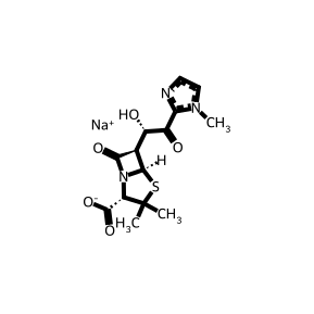 Cn1ccnc1C(=O)[C@@H](O)[C@@H]1C(=O)N2[C@@H]1SC(C)(C)[C@@H]2C(=O)[O-].[Na+]